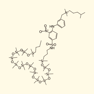 CCCC[Si](C)(C)O[Si](C)(C)O[Si](C)(C)O[Si](C)(C)O[Si](C)(C)O[Si](C)(C)O[Si](C)(C)O[Si](C)(C)O[Si](C)(C)O[Si](C)(C)O[Si](C)(C)O[Si](C)(C)O[Si](C)(C)CCCNS(=O)(=O)c1ccc(Nc2cccc(C[N+](C)(C)CCCC(C)C)c2)c([N+](=O)[O-])c1